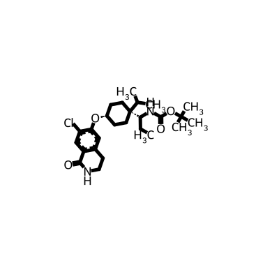 CCC(NC(=O)OC(C)(C)C)[C@]1(C(C)C)CC[C@H](Oc2cc3c(cc2Cl)C(=O)NCC3)CC1